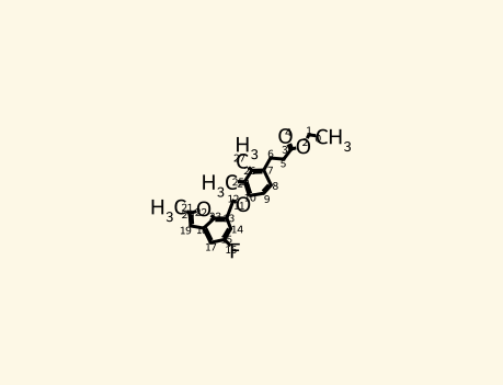 CCOC(=O)CCc1ccc(OCc2cc(F)cc3cc(C)oc23)c(C)c1C